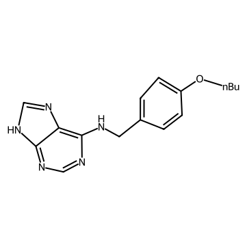 CCCCOc1ccc(CNc2ncnc3[nH]cnc23)cc1